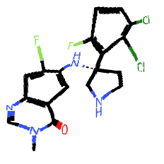 Cn1cnc2cc(F)c(N[C@]3(c4c(F)ccc(Cl)c4Cl)CCNC3)cc2c1=O